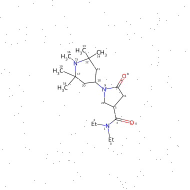 CCN(CC)C(=O)C1CC(=O)N(C2CC(C)(C)N(C)C(C)(C)C2)C1